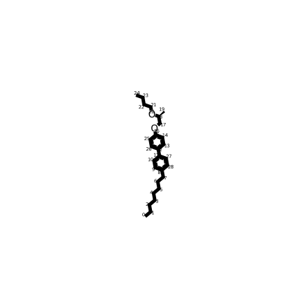 CCCCCCCCc1ccc(-c2ccc(OC[C@H](C)OCCCC)cc2)cc1